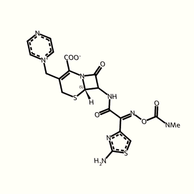 CNC(=O)ON=C(C(=O)NC1C(=O)N2C(C(=O)[O-])=C(C[n+]3ccncc3)CS[C@@H]12)c1csc(N)n1